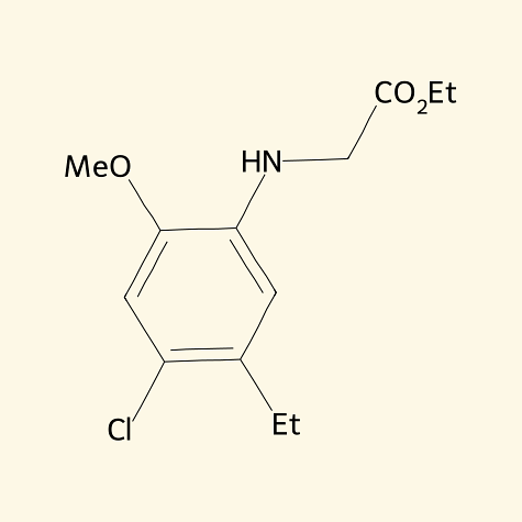 CCOC(=O)CNc1cc(CC)c(Cl)cc1OC